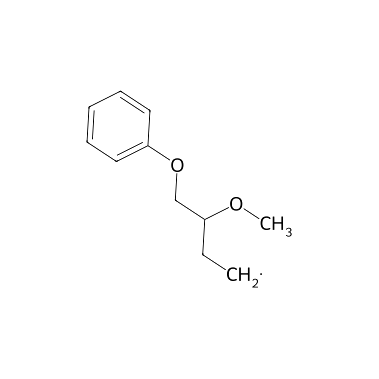 [CH2]CC(COc1ccccc1)OC